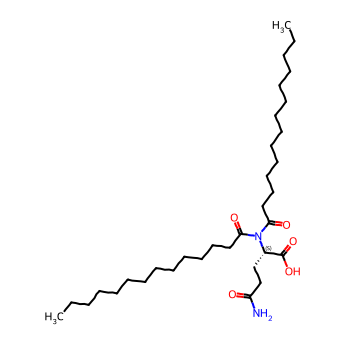 CCCCCCCCCCCCCC(=O)N(C(=O)CCCCCCCCCCCCC)[C@@H](CCC(N)=O)C(=O)O